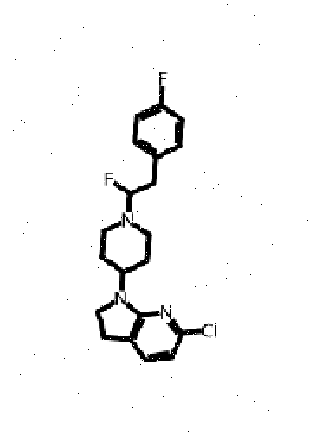 Fc1ccc(CC(F)N2CCC(N3CCc4ccc(Cl)nc43)CC2)cc1